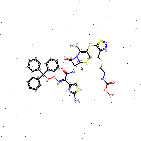 CC(C)(C)OC(=O)NCCSCc1nnsc1SC1=C(C(=O)O)N2C(=O)[C@@H](NC(=O)/C(=N\OOC(c3ccccc3)(c3ccccc3)c3ccccc3)c3csc(N)n3)[C@@H]2SC1